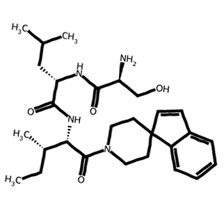 CC[C@H](C)[C@H](NC(=O)[C@H](CC(C)C)NC(=O)[C@@H](N)CO)C(=O)N1CCC2(C=Cc3ccccc32)CC1